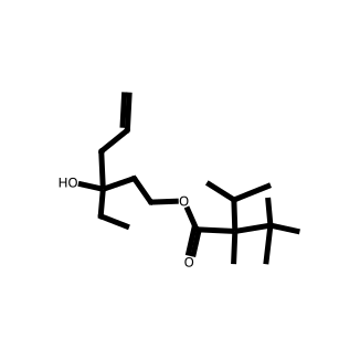 C=CCC(O)(CC)CCOC(=O)C(C)(C(C)C)C(C)(C)C